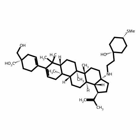 C=C(C)[C@@H]1CC[C@]2(NCC[C@]3(O)CC[C@@H](SC)CC3)CC[C@]3(C)[C@H](CC[C@@H]4[C@@]5(C)CC=C(C6=CC[C@@](CO)(C(=O)O)CC6)C(C)(C)[C@@H]5CC[C@]43C)[C@@H]12